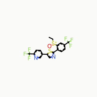 CC[S+]([O-])c1cc(C(F)(F)F)ccc1-c1ncc(-c2ccc(C(F)(F)F)nc2)s1